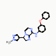 Cn1cc(C2CN=C3C(Nc4cccc(Oc5ccccc5)c4)=NC=CN32)cn1